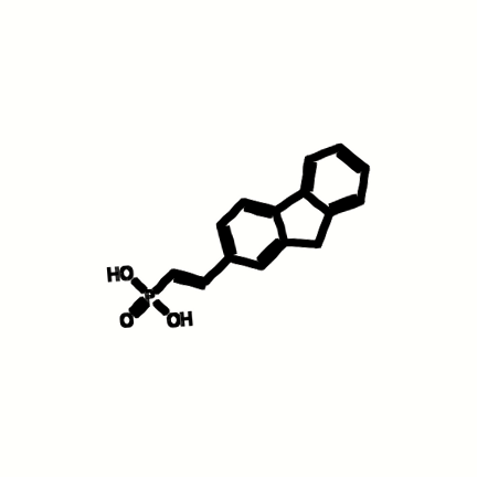 O=P(O)(O)C=Cc1ccc2c(c1)Cc1ccccc1-2